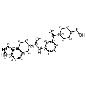 O=C(Nc1cccc(C(=O)N2CCC(CO)CC2)c1)N1CCc2c(cnc3[nH]ncc23)C1